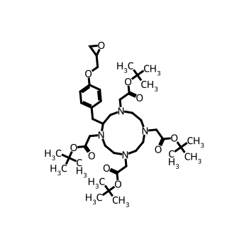 CC(C)(C)OC(=O)CN1CCN(CC(=O)OC(C)(C)C)CCN(CC(=O)OC(C)(C)C)C(Cc2ccc(OCC3CO3)cc2)CN(CC(=O)OC(C)(C)C)CC1